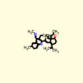 C=C(C)C1=C(/C=C(\C)c2nc3c(c(/C=N/C)c2CC)=CC(C)CC=3)C(CC)(CCC)C(=O)CC1